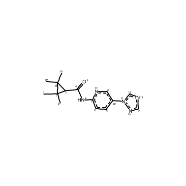 CC1(C)C(C(=O)Nc2ccc(-n3cncn3)cn2)C1(C)C